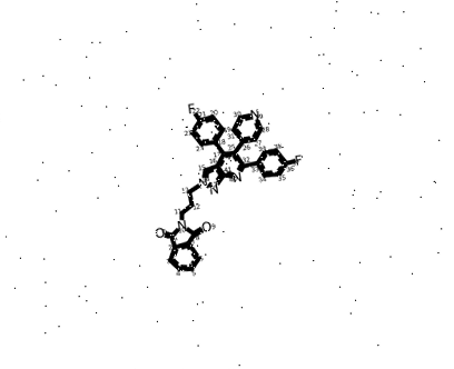 O=C1c2ccccc2C(=O)N1CCCn1cc2c(-c3ccc(F)cc3)c(-c3ccncc3)c(-c3ccc(F)cc3)nc2n1